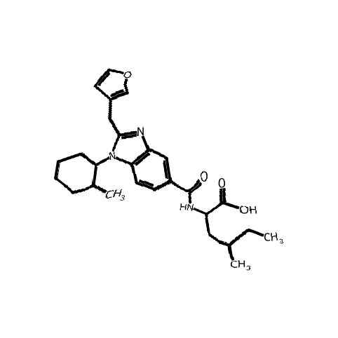 CCC(C)CC(NC(=O)c1ccc2c(c1)nc(Cc1ccoc1)n2C1CCCCC1C)C(=O)O